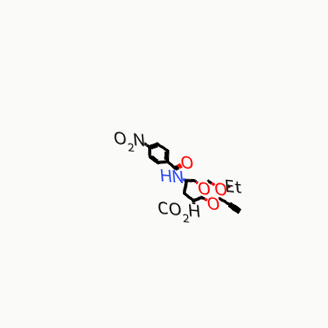 C#CCOCC(CC(COCOCC)NC(=O)c1ccc([N+](=O)[O-])cc1)C(=O)O